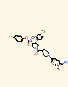 C=C(/C=C\C(C)=C/N)N1CCC(C(=O)N2C[C@@H](N(C)C(=O)Oc3ccc(F)cc3)[C@H](c3ccc(Cl)cc3)C2)CC1